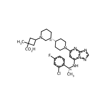 C[C@@H](Nc1cc(N2CCC([C@H]3CCCN(C4CC(C)(C(=O)O)C4)C3)CC2)nc2ncnn12)c1ccc(F)cc1Cl